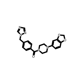 O=C(c1ccc(Cn2cncn2)cc1)N1CCN(c2ccc3c(c2)OCO3)CC1